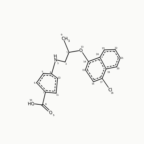 CC(CNc1ccc(C(=O)O)cc1)Oc1ccc(Cl)c2ccccc12